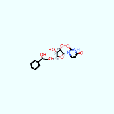 O=c1ccn([C@@H]2O[C@H](COCC(O)c3ccccc3)[C@@H](O)[C@H]2O)c(=O)[nH]1